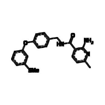 CSc1cccc(Oc2ccc(CNC(=O)c3ccc(C)nc3N)cc2)c1